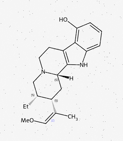 CC[C@@H]1CN2CCc3c([nH]c4cccc(O)c34)[C@@H]2C[C@@H]1/C(C)=C\OC